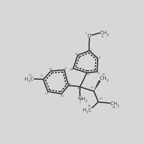 COc1ccc(C(N)(c2ccc(C)cc2)[C@@H](C)C(C)C)cc1